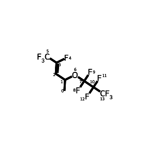 CC(C=C(F)C(F)(F)F)OC(F)(F)C(F)(F)C(F)(F)F